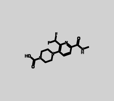 CNC(=O)c1ccc(N2CCN(C(=O)O)CC2)c(C(F)F)n1